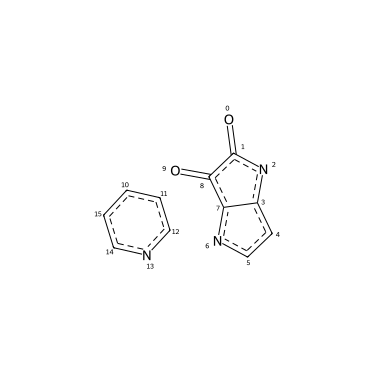 O=c1nc2ccnc-2c1=O.c1ccncc1